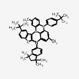 Cc1ccc2c(c1)B1c3c(cc(C)cc3N(c3ccc4c(c3)C(C)(C)CC4(C)C)c3oc4ccc(C(C)(C)C)cc4c31)N2c1ccc(C(C)(C)C)cc1